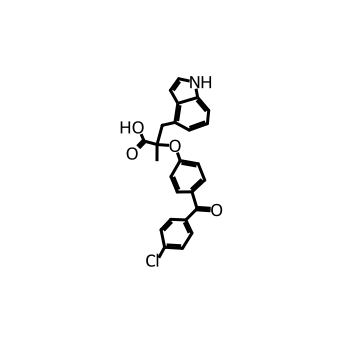 CC(Cc1cccc2[nH]ccc12)(Oc1ccc(C(=O)c2ccc(Cl)cc2)cc1)C(=O)O